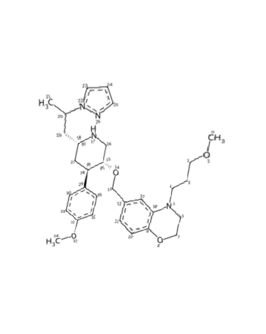 COCCCN1CCOc2ccc(CO[C@H]3CN[C@@H](CC(C)n4cccn4)C[C@@H]3c3ccc(OC)cc3)cc21